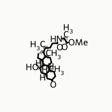 COC(=O)[C@H](C)NC(=O)CC[C@@H](C)[C@H]1CC[C@H]2[C@@H]3[C@H](O)C[C@@H]4CC(=O)CC[C@]4(C)[C@H]3CC[C@]12C